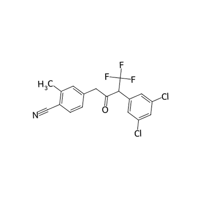 Cc1cc(CC(=O)C(c2cc(Cl)cc(Cl)c2)C(F)(F)F)ccc1C#N